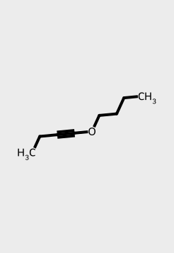 CCC#COCCCC